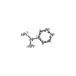 CCCN(CCC)c1[c]nncc1